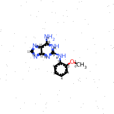 COc1ccccc1Nc1nc2ncnc-2c(N)[nH]1